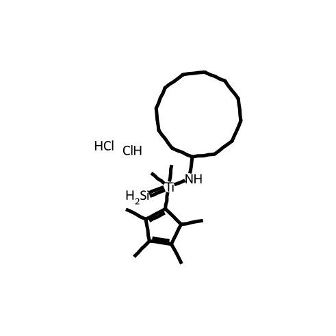 CC1=C(C)C(C)[C]([Ti]([CH3])([CH3])(=[SiH2])[NH]C2CCCCCCCCCCC2)=C1C.Cl.Cl